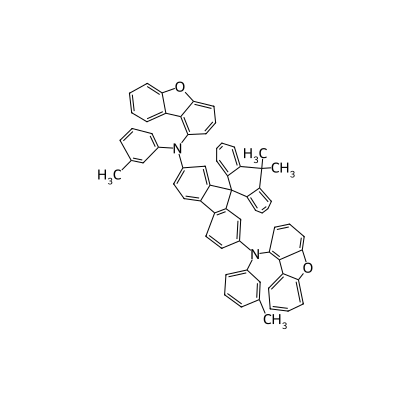 Cc1cccc(N(c2ccc3c(c2)C2(c4cc(N(c5cccc(C)c5)c5cccc6oc7ccccc7c56)ccc4-3)c3ccccc3C(C)(C)c3ccccc32)c2cccc3oc4ccccc4c23)c1